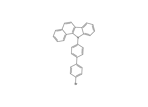 Brc1ccc(-c2ccc(-n3c4ccccc4c4ccc5ccccc5c43)cc2)cc1